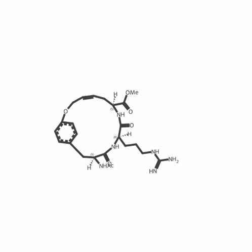 COC(=O)[C@@H]1CC=CCOc2ccc(cc2)C[C@H](NC(C)=O)C(=O)N[C@H](CCCNC(=N)N)C(=O)N1